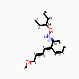 C\C=C/C(=C\C=C\COC)C(/C)=N/OC(CC)CC